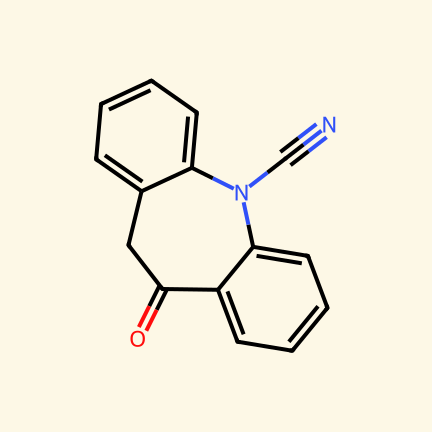 N#CN1c2ccccc2CC(=O)c2ccccc21